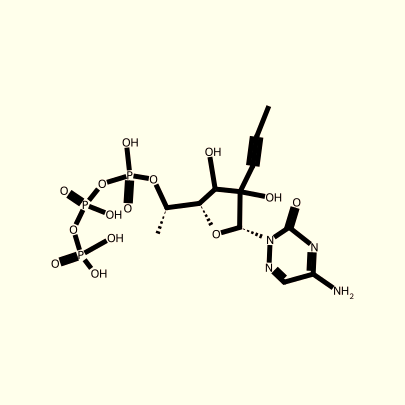 CC#CC1(O)C(O)[C@@H]([C@H](C)OP(=O)(O)OP(=O)(O)OP(=O)(O)O)O[C@H]1n1ncc(N)nc1=O